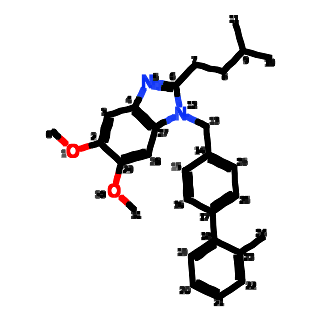 COc1cc2nc(CCC(C)C)n(Cc3ccc(-c4ccccc4C)cc3)c2cc1OC